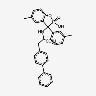 Cc1cccc(C(NC(Cc2ccc(-c3ccccc3)cc2)C(=O)O)(c2cccc(C)c2)P(=O)(O)O)c1